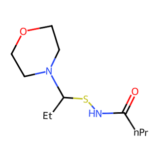 CCCC(=O)NSC(CC)N1CCOCC1